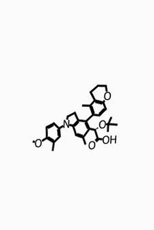 COc1ccc(N2CCc3c2cc(C)c([C@H](OC(C)(C)C)C(=O)O)c3-c2ccc3c(c2C)CCCO3)cc1C